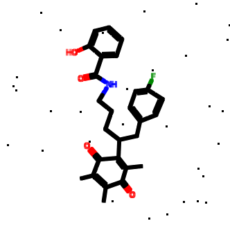 CC1=C(C)C(=O)C(C(CCCNC(=O)c2ccccc2O)Cc2ccc(F)cc2)=C(C)C1=O